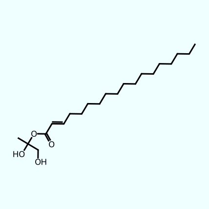 CCCCCCCCCCCCCCCC=CC(=O)OC(C)(O)CO